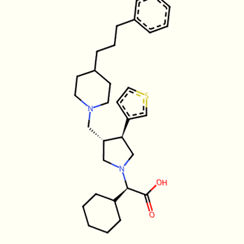 O=C(O)[C@@H](C1CCCCC1)N1C[C@H](CN2CCC(CCCc3ccccc3)CC2)[C@@H](c2ccsc2)C1